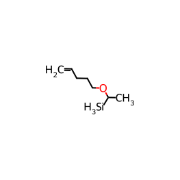 C=CCCCOC(C)[SiH3]